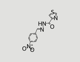 O=C(NN=Cc1ccc([N+](=O)[O-])cc1)c1cscn1